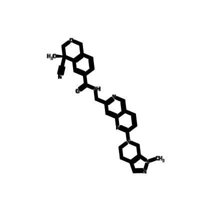 Cn1ncc2c1CN(c1ccc3cnc(CNC(=O)c4ccc5c(c4)[C@](C)(C#N)COC5)cc3n1)CC2